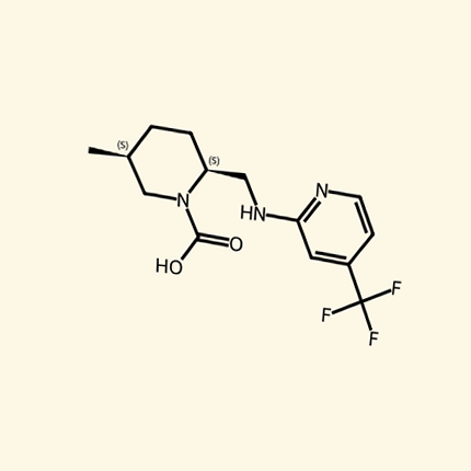 C[C@H]1CC[C@@H](CNc2cc(C(F)(F)F)ccn2)N(C(=O)O)C1